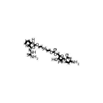 NC(=S)N/N=C/c1ncccc1NC(=O)OCCSSCCOC(=O)OCC1OC(n2ccc(N)nc2=O)C(F)(F)C1O